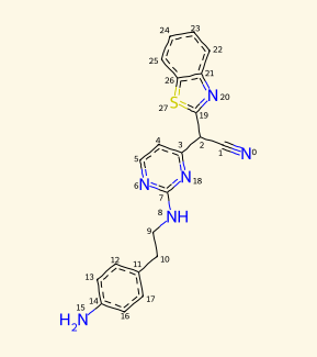 N#CC(c1ccnc(NCCc2ccc(N)cc2)n1)c1nc2ccccc2s1